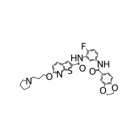 O=C(Nc1ccc(F)c(NC(=O)c2cc3ccc(OCCCN4CCCC4)nc3s2)c1)c1ccc2c(c1)OCCO2